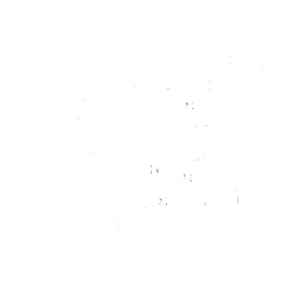 c1ccc(-c2ccc(-c3nc(-n4c5ccccc5c5cc6c7cc8ccccc8cc7n(-c7ccccc7)c6cc54)nc4ccccc34)cc2)cc1